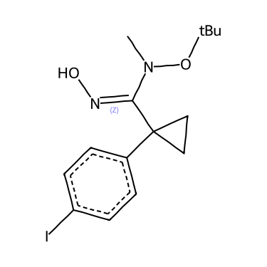 CN(OC(C)(C)C)/C(=N\O)C1(c2ccc(I)cc2)CC1